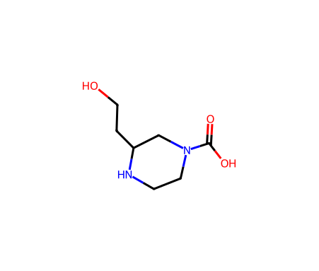 O=C(O)N1CCNC(CCO)C1